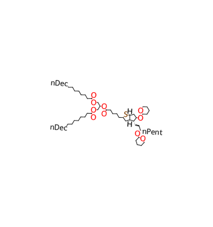 CCCCCCCCCCCCCCCCCC(=O)OCC(COC(=O)CCCCCCCCCCCCCCCCC)OC(=O)CCCCC1C[C@@H]2[C@@H](/C=C/[C@H](CCCCC)OC3CCCCO3)[C@H](OC3CCCCO3)C[C@H]2S1